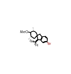 [2H]C([2H])=C1c2cc(Br)ccc2CC12C[C@@H](C)C(OC)[C@@H](C)C2